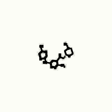 CC(C)N1CCO[C@H](CNc2cc(Nc3cnc(C#N)cn3)nnc2C(F)(F)F)C1